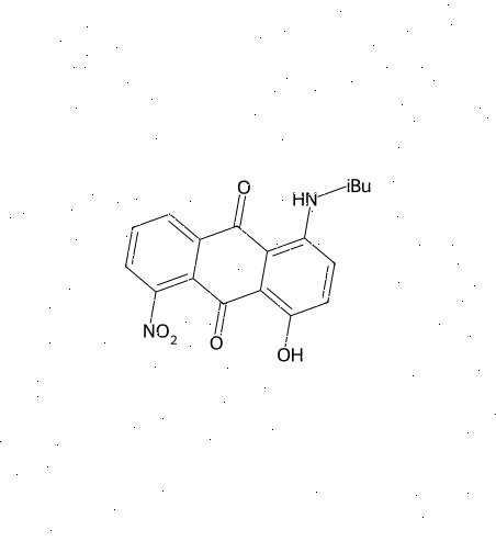 CCC(C)Nc1ccc(O)c2c1C(=O)c1cccc([N+](=O)[O-])c1C2=O